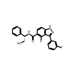 O=C(N[C@H](CO)c1ccccc1)c1ccc2[nH]nc(-c3cccc(F)c3)c2c1F